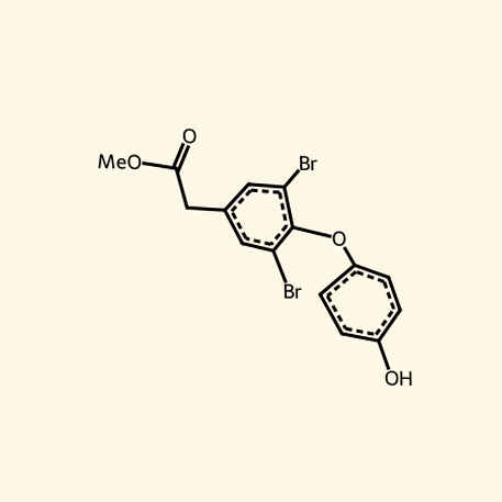 COC(=O)Cc1cc(Br)c(Oc2ccc(O)cc2)c(Br)c1